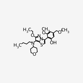 CCCCN(c1c(OCC)nn2c(-c3c(O)cc(COC)cc3OC)csc12)C1CCOCC1